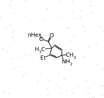 CCCCCCOC(=O)C1(C)C=CC(C)(N)C=C1CC